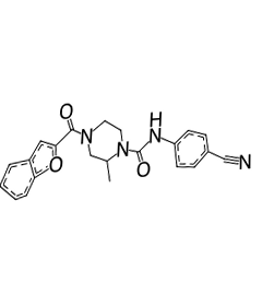 CC1CN(C(=O)c2cc3ccccc3o2)CCN1C(=O)Nc1ccc(C#N)cc1